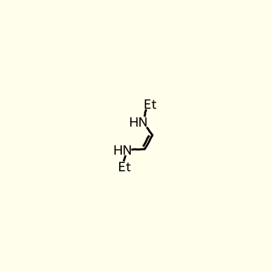 CCN/C=C\NCC